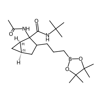 CC(=O)NC1(C(=O)NC(C)(C)C)C(CCCB2OC(C)(C)C(C)(C)O2)C[C@H]2C[C@H]21